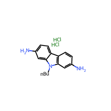 CCCCn1c2cc(N)ccc2c2ccc(N)cc21.Cl.Cl